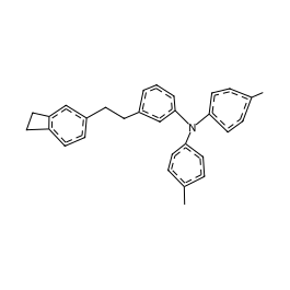 Cc1ccc(N(c2ccc(C)cc2)c2cccc(CCc3ccc4c(c3)CC4)c2)cc1